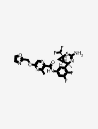 Cc1nc(OCc2ncco2)cnc1C(=O)Nc1cc(F)c(F)c([C@]2(C)N=C(N)S[C@@]3(C(F)F)C[C@@H]23)c1